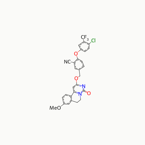 COc1ccc2c(c1)CCn1c-2cc(OCc2ccc(Oc3ccc(Cl)c(C(F)(F)F)c3)c(C#N)c2)nc1=O